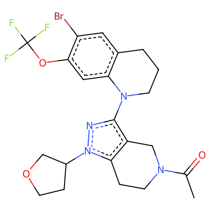 CC(=O)N1CCc2c(c(N3CCCc4cc(Br)c(OC(F)(F)F)cc43)nn2C2CCOC2)C1